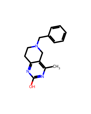 Cc1nc(O)nc2c1CN(Cc1ccccc1)CC2